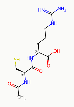 CC(=O)N[C@@H](CS)C(=O)N[C@@H](CCCNC(=N)N)C(=O)O